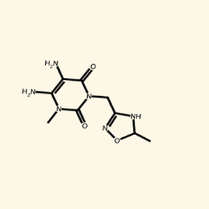 CC1NC(Cn2c(=O)c(N)c(N)n(C)c2=O)=NO1